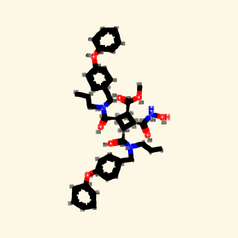 CCCN(Cc1ccc(Oc2ccccc2)cc1)C(=O)[C@H]1[C@@H](C(=O)NO)[C@H](C(=O)OC)[C@@H]1C(=O)N(CCC)Cc1ccc(Oc2ccccc2)cc1